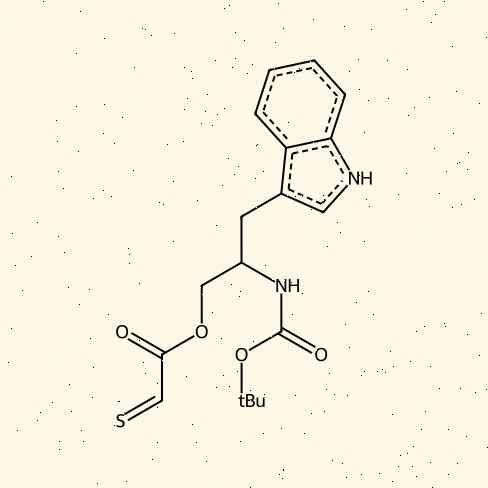 CC(C)(C)OC(=O)NC(COC(=O)C=S)Cc1c[nH]c2ccccc12